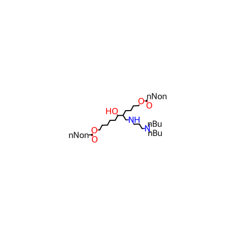 CCCCCCCCCC(=O)OCCCCCC(O)C(CCCCOC(=O)CCCCCCCCC)CNCCCN(CCCC)CCCC